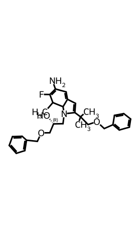 CC1C(F)=C(N)C=C2C=C(C(C)(C)COCc3ccccc3)N(C[C@@H](O)COCc3ccccc3)C21